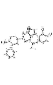 NC(=O)c1nc(N2CCC(N)C(c3ccccc3)C2)nc2[nH]nc(-c3cccc(Cl)c3Cl)c12